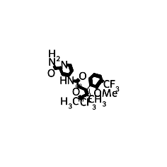 COc1c([C@@H]2[C@@H](C)[C@](C)(C(F)(F)F)O[C@H]2C(=O)Nc2ccnc(C(N)=O)c2)cccc1C(F)(F)F